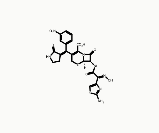 Nc1nc(C(=NO)C(=O)N[C@@H]2C(=O)N3C(C(=O)O)=C(C(=C4CCNC4=O)c4cccc([N+](=O)[O-])c4)CS[C@H]23)cs1